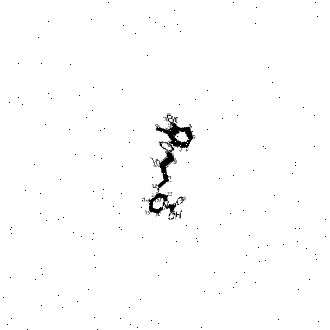 Cc1c(Br)cccc1OCCCC[C@H]1CCCN(C(=O)O)C1